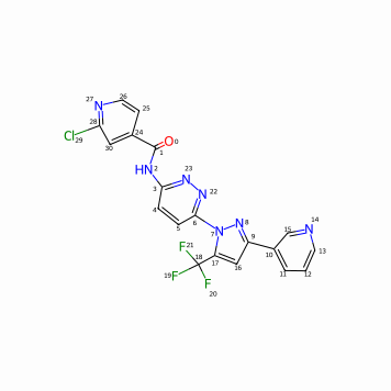 O=C(Nc1ccc(-n2nc(-c3cccnc3)cc2C(F)(F)F)nn1)c1ccnc(Cl)c1